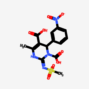 CC1=C(C(=O)O)C(c2cccc([N+](=O)[O-])c2)N(C(=O)O)/C(=N\S(C)(=O)=O)N1